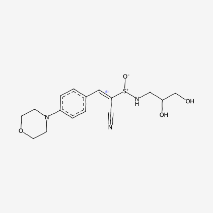 N#C/C(=C\c1ccc(N2CCOCC2)cc1)[S+]([O-])NCC(O)CO